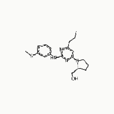 CCCc1cc(N2CCC[C@H]2CO)nc(Nc2cccc(SC)c2)n1